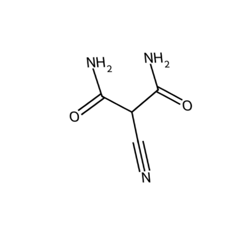 N#CC(C(N)=O)C(N)=O